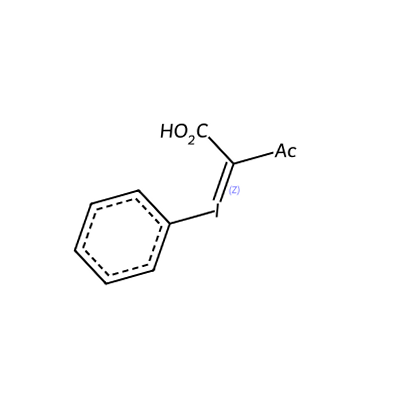 CC(=O)/C(=I/c1ccccc1)C(=O)O